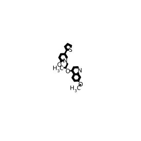 COc1ccc2c(OC(C)Cn3cc(-c4cccs4)ccc3=O)ccnc2c1